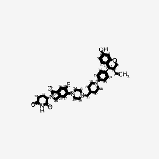 CC[C@@H]1COc2cc(O)ccc2[C@@H]1c1ccc(N2CCC(CN3CCN(c4cc5c(cc4F)C(=O)N([C@H]4CCC(=O)NC4=O)C5)CC3)CC2)cc1